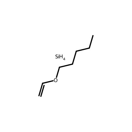 C=COCCCCC.[SiH4]